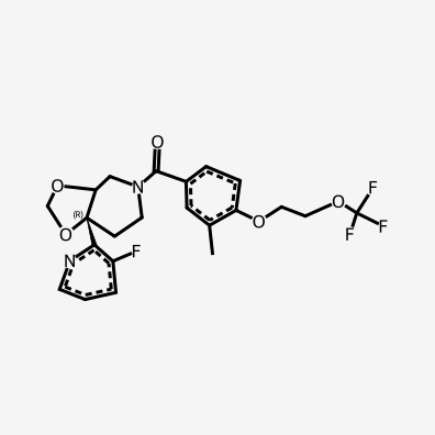 Cc1cc(C(=O)N2CC[C@]3(c4ncccc4F)OCOC3C2)ccc1OCCOC(F)(F)F